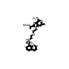 COC(C)c1nc2c(N)nc(C)cc2n1CCOCCNS(=O)(=O)c1cccc2cccnc12